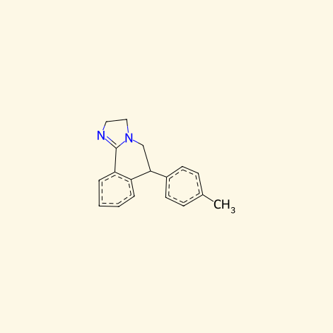 Cc1ccc(C2CN3CCN=C3c3ccccc32)cc1